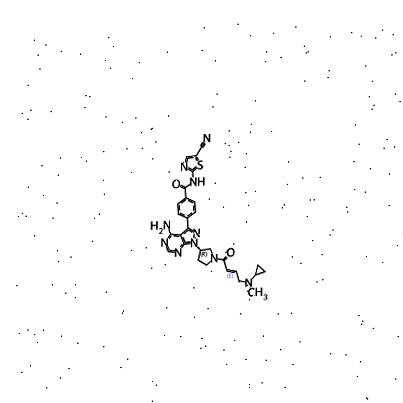 CN(C/C=C/C(=O)N1CC[C@@H](n2nc(-c3ccc(C(=O)Nc4ncc(C#N)s4)cc3)c3c(N)ncnc32)C1)C1CC1